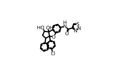 O=C(Nc1ccc2c(c1)OC1(c3ccc(Cl)cc3)C(c3ccccc3)CC(O)C21O)c1csnn1